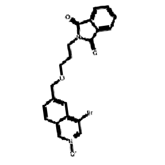 O=C1c2ccccc2C(=O)N1CCCOCc1ccc2c[n+]([O-])cc(Br)c2c1